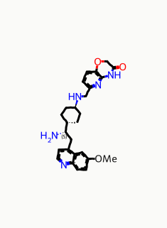 COc1ccc2nccc(C[C@H](N)[C@H]3CC[C@H](NCc4ccc5c(n4)NC(=O)CO5)CC3)c2c1